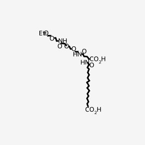 CCOCCOCCNC(=O)COCCOCCNC(=O)CCC(NC(=O)CCCCCCCCCCCCCCCCC(=O)O)C(=O)O